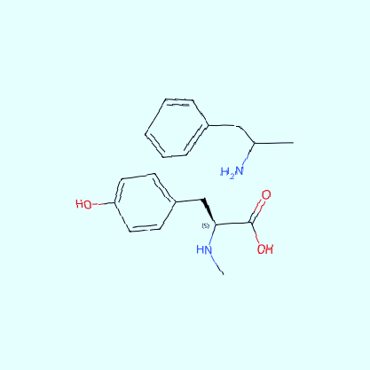 CC(N)Cc1ccccc1.CN[C@@H](Cc1ccc(O)cc1)C(=O)O